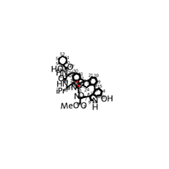 COC(=O)c1nc2oc1-c1c[nH]c3c(O)ccc(c13)-c1cccc3c1CC1Oc4ccc5cc4C31c1oc(nc1-2)[C@H](C(C)C)NC(=O)[C@@H](NC(=O)C1(O)CCCCC1)C5